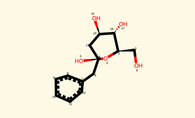 OC[C@H]1O[C@](O)(Cc2ccccc2)C[C@@H](O)[C@@H]1O